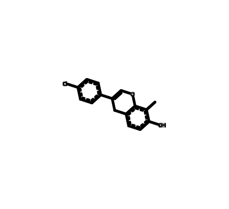 Cc1c(O)ccc2c1OC=C(c1ccc(Cl)cc1)C2